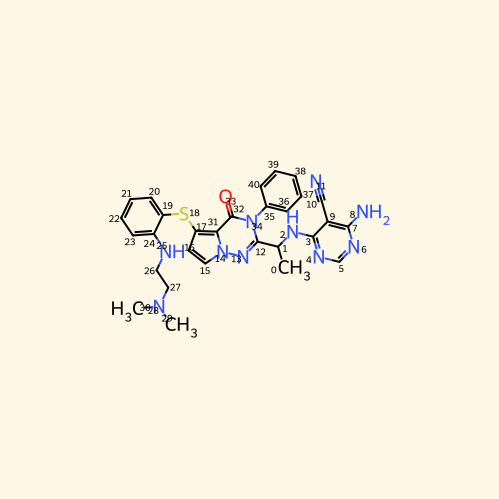 CC(Nc1ncnc(N)c1C#N)c1nn2ccc(Sc3ccccc3NCCN(C)C)c2c(=O)n1-c1ccccc1